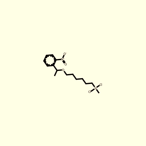 CC(OCCCCCC[Si](C)(Cl)Cl)c1ccccc1[N+](=O)[O-]